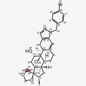 C[C@@H]1C[C@H]2[C@@H]3CCC4=Cc5c(cnn5Cc5ccc(Br)cc5)C[C@]4(C)[C@@]3(Cl)[C@@H](O)C[C@]2(C)[C@]12OCOC21COCO1